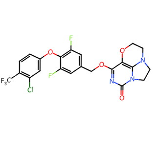 O=c1nc(OCc2cc(F)c(Oc3ccc(C(F)(F)F)c(Cl)c3)c(F)c2)c2c3n1CCN3CCO2